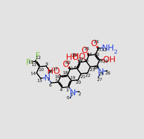 CN(C)c1cc(CN2CCC(=C(F)F)CC2)c(O)c2c1CC1CC3[C@H](N(C)C)C(O)=C(C(N)=O)C(=O)C3(O)C(O)=C1C2=O